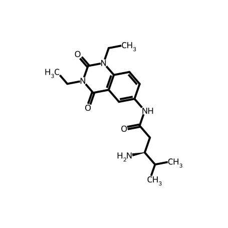 CCn1c(=O)c2cc(NC(=O)C[C@H](N)C(C)C)ccc2n(CC)c1=O